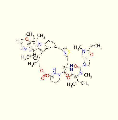 C=CC(=O)N(C)C[C@@H]1CCN1C(=O)N(C)[C@H](C(=O)N[C@H]1Cc2nc(cs2)-c2ccc3c(c2)c(c(/C(C=C)=C(/N=C\C)[C@H](C)OC)n3CC)CC(C)(C)COC(=O)[C@@]2(O)CCCN(N2)C1=O)C(C)C